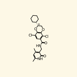 Cc1cc(C)c(CNC(=O)c2cc(Cl)c3c(c2Cl)OC[C@@H](C2CCCCC2)O3)c(=O)[nH]1